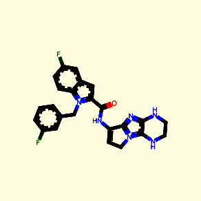 O=C(NC1=CCn2c1nc1c2NCCN1)c1cc2cc(F)ccc2n1Cc1cccc(F)c1